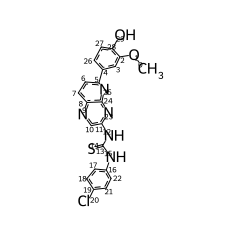 COc1cc(-c2ccc3ncc(NC(=S)Nc4ccc(Cl)cc4)nc3n2)ccc1O